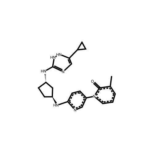 Cc1cccn(-c2ccc(N[C@H]3CC[C@H](NC4=NC=C(C5CC5)NN4)C3)nc2)c1=O